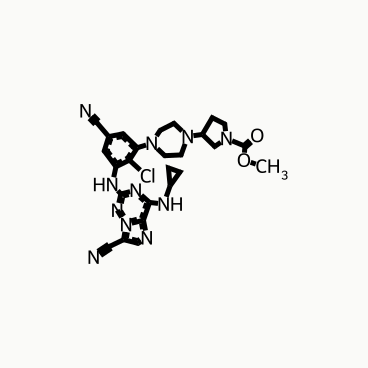 COC(=O)N1CCC(N2CCN(c3cc(C#N)cc(Nc4nc(NC5CC5)c5ncc(C#N)n5n4)c3Cl)CC2)C1